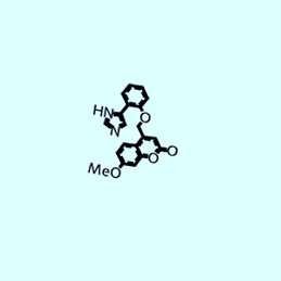 COc1ccc2c(COc3ccccc3-c3cnc[nH]3)cc(=O)oc2c1